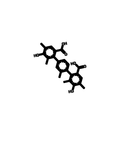 Cc1cc(-c2c(C(=O)O)cc(C)c(O)c2C)ccc1-c1c(C(=O)O)cc(C)c(O)c1C